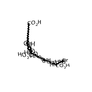 O=C(O)CCCCCCCCCCCCCCCCC(=O)NCC1CCC(C(=O)N[C@@H](CCC(=O)NCCOCCOCC(=O)NCCOCCOCC(=O)N[C@@H](CCCCNC(=O)CBr)C(=O)O)C(=O)O)CC1